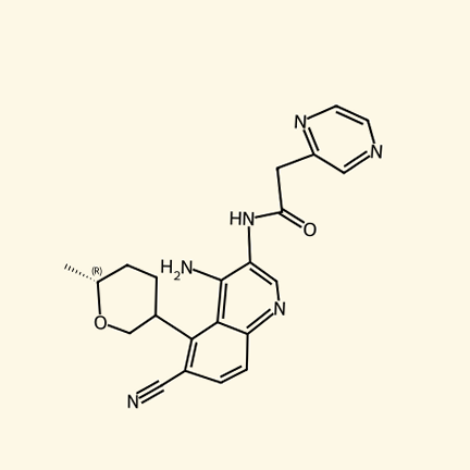 C[C@@H]1CCC(c2c(C#N)ccc3ncc(NC(=O)Cc4cnccn4)c(N)c23)CO1